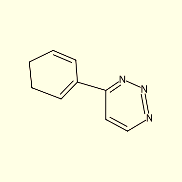 C1=CC(c2ccnnn2)=CCC1